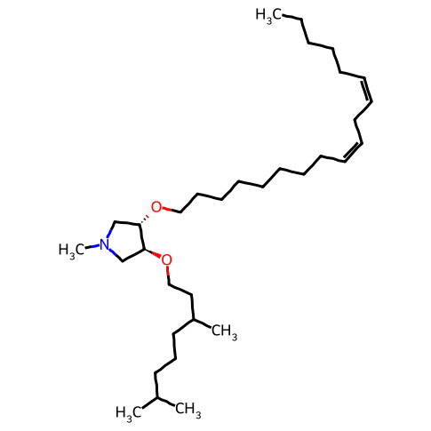 CCCCC/C=C\C/C=C\CCCCCCCCO[C@H]1CN(C)C[C@@H]1OCCC(C)CCCC(C)C